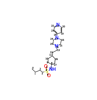 CCCCS(=O)(=O)N[C]1CCC(CCN2CCN(c3ccncc3)CC2)CC1